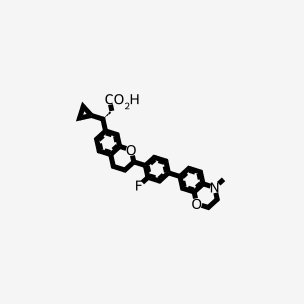 CN1CCOc2cc(-c3ccc(C4CCc5ccc([C@@H](CC(=O)O)C6CC6)cc5O4)c(F)c3)ccc21